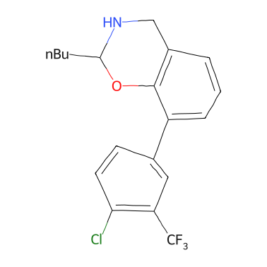 CCCCC1NCc2cccc(-c3ccc(Cl)c(C(F)(F)F)c3)c2O1